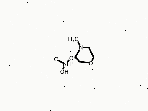 CN1CCOCC1.[O-][NH+](O)O